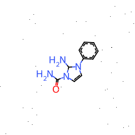 NC(=O)N1C=CN(c2ccccc2)C1N